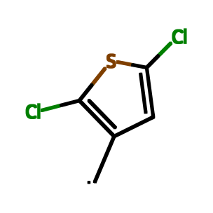 [CH2]c1cc(Cl)sc1Cl